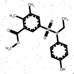 CCN(c1ccc(O)cc1)S(=O)(=O)c1cc(C)c(C)c(C(=O)OC)c1